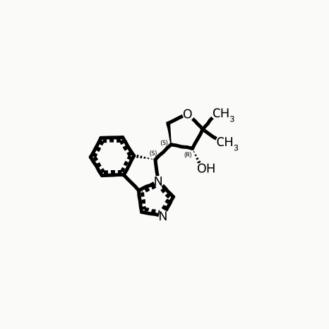 CC1(C)OC[C@H]([C@H]2c3ccccc3-c3cncn32)[C@H]1O